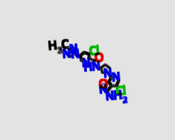 Cc1ncn(-c2cnc(C(=O)NC3CCN(c4ncc(Cl)c5c(N)noc45)C3)c(Cl)c2)n1